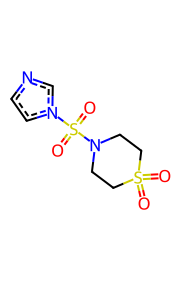 O=S1(=O)CCN(S(=O)(=O)n2ccnc2)CC1